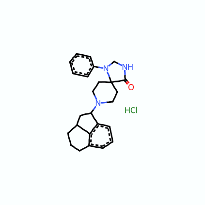 Cl.O=C1NCN(c2ccccc2)C12CCN(C1CC3CCCc4cccc1c43)CC2